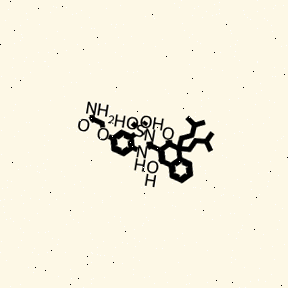 CC(C)CCC1(CCC(C)C)C(=O)C(C2=NS(O)(O)c3cc(OCC(N)=O)ccc3N2)=C(O)c2ccccc21